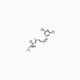 CC(C=C[C@@H]1C[C@H]1c1cc(Cl)nc(Cl)c1)=CC(=O)NCC(C)C